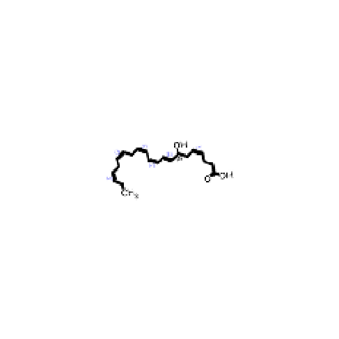 CC/C=C\C/C=C\C\C=C/C=C\C=C\[C@@H](O)C/C=C\CCC(=O)O